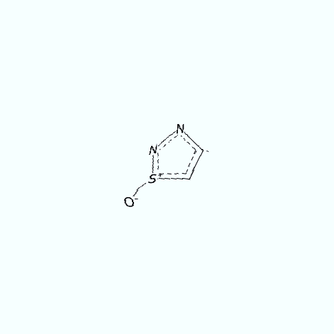 [O-][s+]1c[c]nn1